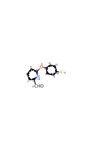 O=Cc1cccc(Oc2ccc(F)cc2)n1